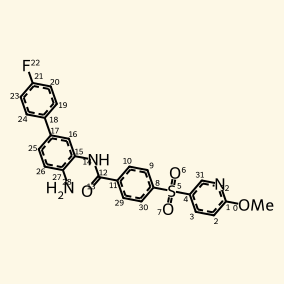 COc1ccc(S(=O)(=O)c2ccc(C(=O)Nc3cc(-c4ccc(F)cc4)ccc3N)cc2)cn1